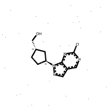 OC[C@H]1CC[C@H](n2ncc3cnc(Cl)nc32)C1